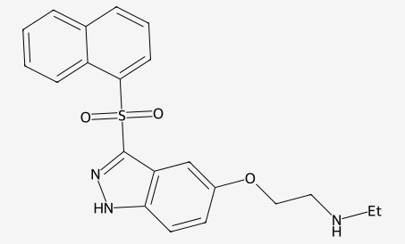 CCNCCOc1ccc2[nH]nc(S(=O)(=O)c3cccc4ccccc34)c2c1